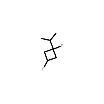 CC(C)C1(F)CC(F)C1